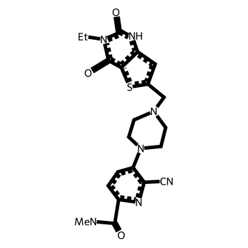 CCn1c(=O)[nH]c2cc(CN3CCN(c4ccc(C(=O)NC)nc4C#N)CC3)sc2c1=O